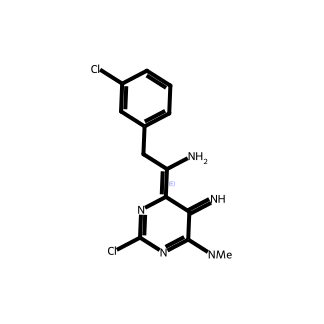 CNC1=NC(Cl)=N/C(=C(/N)Cc2cccc(Cl)c2)C1=N